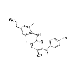 Cc1cc(CCC#N)cc(C)c1Nc1nnc(Cl)c(Nc2ccc(C#N)cc2)n1